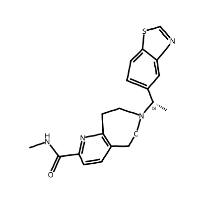 CNC(=O)c1ccc2c(n1)CCN([C@@H](C)c1ccc3scnc3c1)CC2